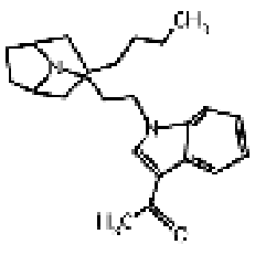 CCCCC1CC2CCC(C1)N2CCCn1cc(C(C)=O)c2ccccc21